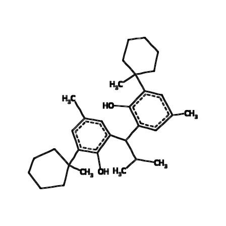 Cc1cc(C(c2cc(C)cc(C3(C)CCCCC3)c2O)C(C)C)c(O)c(C2(C)CCCCC2)c1